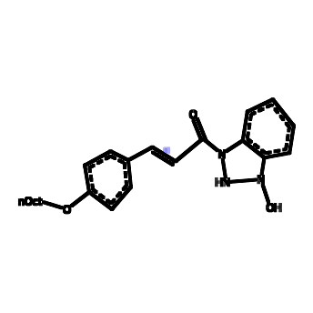 CCCCCCCCOc1ccc(/C=C/C(=O)N2NN(O)c3ccccc32)cc1